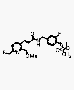 COCc1nc(CF)ccc1/C=C/C(=O)NCc1ccc(NS(C)(=O)=O)c(F)c1